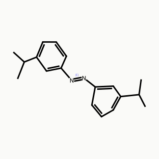 CC(C)c1cccc(/N=N/c2cccc(C(C)C)c2)c1